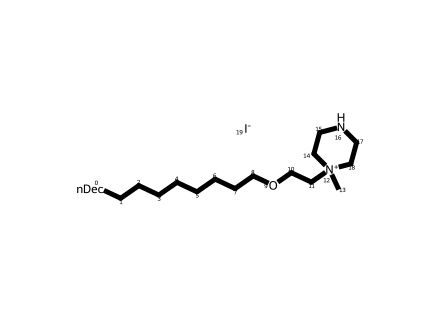 CCCCCCCCCCCCCCCCCCOCC[N+]1(C)CCNCC1.[I-]